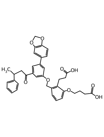 CC(CC(=O)c1cc(OCc2cccc(OCCCC(=O)O)c2CCC(=O)O)cc(-c2ccc3c(c2)OCO3)c1)c1ccccc1